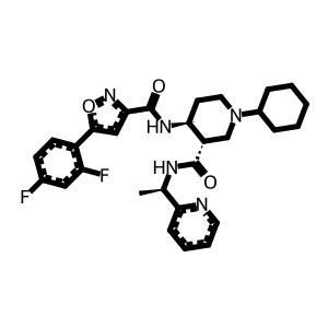 C[C@@H](NC(=O)[C@H]1CN(C2CCCCC2)CC[C@@H]1NC(=O)c1cc(-c2ccc(F)cc2F)on1)c1ccccn1